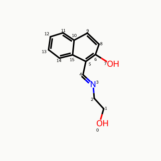 OCCN=Cc1c(O)ccc2ccccc12